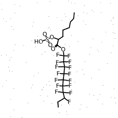 CCCCCCC(OS(=O)(=O)O)C(=O)OC(F)(F)C(F)(F)C(F)(F)C(F)(F)C(F)(F)C(F)(F)C(F)(F)C(F)CC